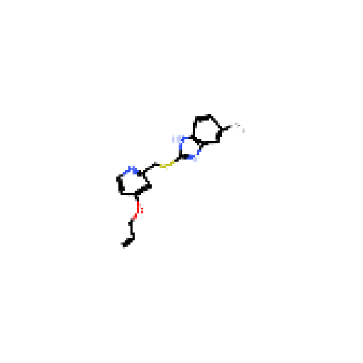 C=CCOc1ccnc(CSc2nc3cc(C(F)(F)F)ccc3[nH]2)c1